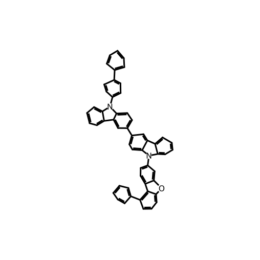 c1ccc(-c2ccc(-n3c4ccccc4c4cc(-c5ccc6c(c5)c5ccccc5n6-c5ccc6c(c5)oc5cccc(-c7ccccc7)c56)ccc43)cc2)cc1